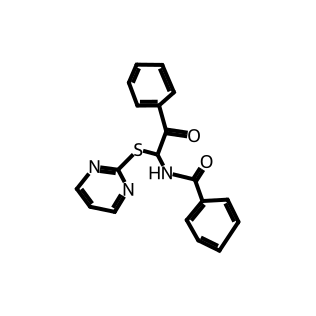 O=C(NC(Sc1ncccn1)C(=O)c1ccccc1)c1ccccc1